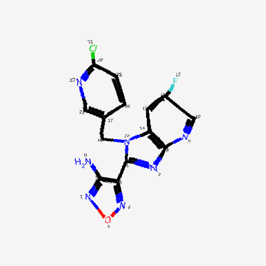 Nc1nonc1-c1nc2ncc(F)cc2n1Cc1ccc(Cl)nc1